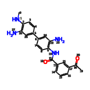 CNc1ccc(-c2ccc(NC(=O)c3cccc(C(C)=O)c3)c(N)c2)cc1N